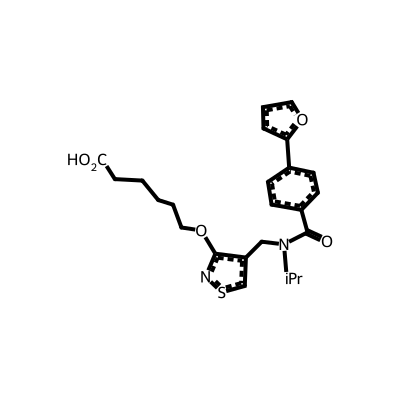 CC(C)N(Cc1csnc1OCCCCCC(=O)O)C(=O)c1ccc(-c2ccco2)cc1